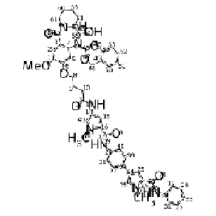 COc1cc2c(cc1OCCCC(=O)Nc1cc(C(=O)Nc3ccc(-c4cc(C(=O)Nc5ccccc5)n(C)c4)cc3)n(C)c1)N(C(=O)OCc1ccccc1)[C@@H](O)[C@@H]1CCCCN1C2=O